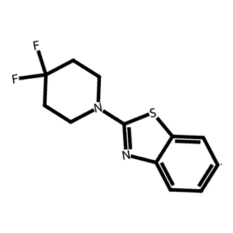 FC1(F)CCN(c2nc3cc[c]cc3s2)CC1